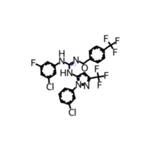 O=C(/N=C(/Nc1cc(F)cc(Cl)c1)Nc1cc(C(F)(F)F)nn1-c1cccc(Cl)c1)c1ccc(C(F)(F)F)cc1